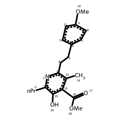 CCCc1nc(CCc2ccc(OC)cc2)c(C)c(C(=O)OC)c1O